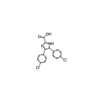 O=C(O)c1nc(-c2ccc(Cl)cc2)c(-c2ccc(Cl)cc2)[nH]1